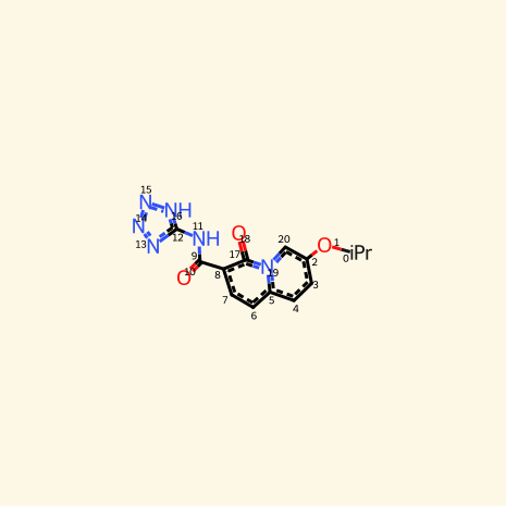 CC(C)Oc1ccc2ccc(C(=O)Nc3nnn[nH]3)c(=O)n2c1